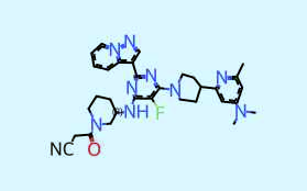 Cc1cc(N(C)C)cc(C2CCN(c3nc(-c4cnn5ccccc45)nc(N[C@@H]4CCCN(C(=O)CC#N)C4)c3F)CC2)n1